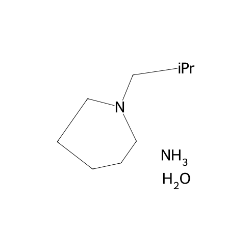 CC(C)CN1CCCCC1.N.O